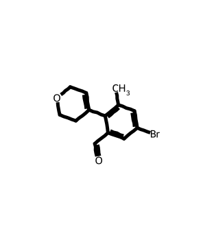 Cc1cc(Br)cc(C=O)c1C1=CCOCC1